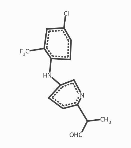 CC(C=O)c1ccc(Nc2ccc(Cl)cc2C(F)(F)F)cn1